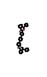 C/C=C(/c1ccccc1)c1ccccc1C1=Nc2cc(-c3ccc(-c4ccc5nc6c7ccccc7c(-c7ccccc7)cn6c5c4)cc3)ccc2C1